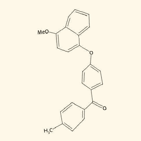 COc1ccc(Oc2ccc(C(=O)c3ccc(C)cc3)cc2)c2ccccc12